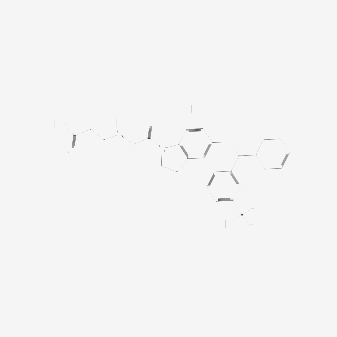 Cl.O=C(O)CCNCC(=O)N1CCc2cc(OC(c3cccc(C(F)(F)F)c3)C3CC=CCC3)ccc21